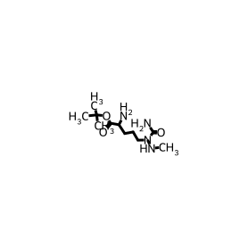 CNN(CCCC(N)C(=O)OC(C)(C)C)C(N)=O